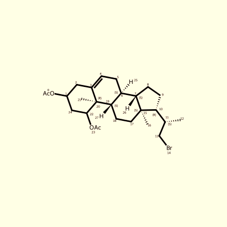 CC(=O)OC1CC2=CC[C@H]3[C@@H]4CC[C@H]([C@H](C)CBr)[C@@]4(C)CC[C@@H]3[C@@]2(C)C(OC(C)=O)C1